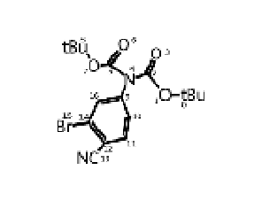 CC(C)(C)OC(=O)N(C(=O)OC(C)(C)C)c1ccc(C#N)c(Br)c1